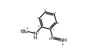 CC(C)(C)Nc1ccccc1N=N